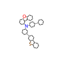 c1ccc(-c2ccc(N(c3cccc(-c4ccc5c(c4)sc4ccccc45)c3)c3cccc4oc5ccccc5c34)cc2)cc1